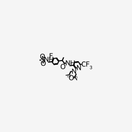 CC(C(=O)NCc1ccc(C(F)(F)F)nc1N1C[C@@H](C)O[C@@H](C)C1)c1ccc(CNS(C)(=O)=O)c(F)c1